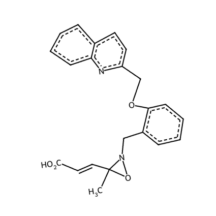 CC1(C=CC(=O)O)ON1Cc1ccccc1OCc1ccc2ccccc2n1